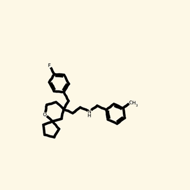 Cc1cccc(CNCCC2(Cc3ccc(F)cc3)CCOC3(CCCC3)C2)c1